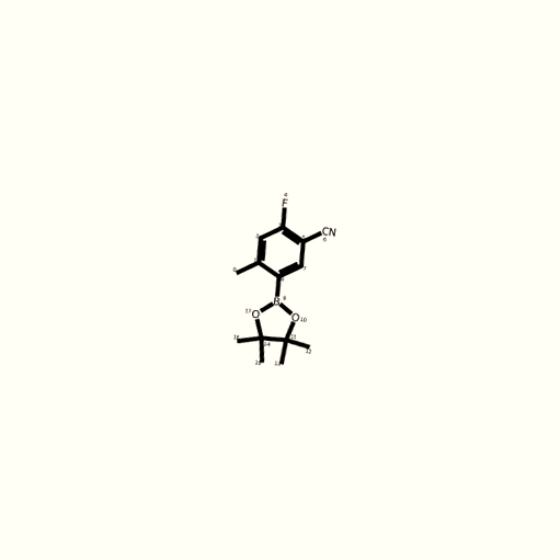 Cc1cc(F)c(C#N)cc1B1OC(C)(C)C(C)(C)O1